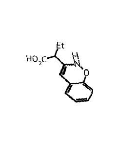 CCC(C(=O)O)C1=Cc2ccccc2ON1